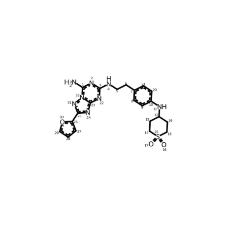 Nc1nc(NCCc2ccc(NC3CCS(=O)(=O)CC3)cc2)nc2nc(-c3ccco3)nn12